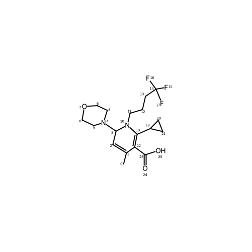 CC1=CC(N2CCOCC2)N(CCCC(F)(F)F)C(C2CC2)=C1C(=O)O